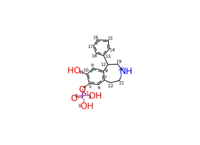 O=P(O)(O)Oc1cc2c(cc1O)C(c1ccccc1)CNCC2